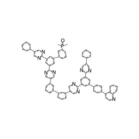 CP(C)(=O)c1cccc(-c2cc(-c3ncc(-c4ccccc4)cn3)cc(-c3ncc(-c4cccc(-c5cccc(-c6cnc(-c7cc(-c8ccc(-c9ccnc%10ccccc9%10)cc8)cc(-c8ncc(-c9ccccc9)cn8)c7)nc6)c5)c4)cn3)c2)c1